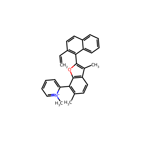 C=Cc1ccc2ccccc2c1-c1oc2c(-c3cccc[n+]3C)c(C)ccc2c1C